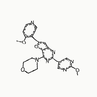 COc1ncc(-c2nc(N3CCOCC3)c3oc(-c4cnccc4OC)cc3n2)cn1